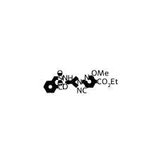 CCOC(=O)c1cc(C#N)c(N2CC(C(=O)NS(=O)(=O)Cc3ccccc3Cl)C2)nc1OC